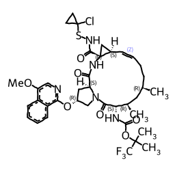 COc1cnc(O[C@@H]2C[C@H]3C(=O)N[C@]4(C(=O)NSC5(Cl)CC5)C[C@H]4/C=C\CC[C@@H](C)C[C@@H](C)[C@H](NC(=O)OC(C)(C)C(F)(F)F)C(=O)N3C2)c2ccccc12